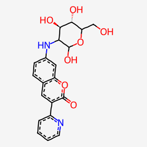 O=c1oc2cc(NC3C(O)OC(CO)[C@@H](O)[C@@H]3O)ccc2cc1-c1ccccn1